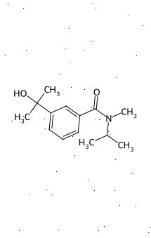 CC(C)N(C)C(=O)c1cccc(C(C)(C)O)c1